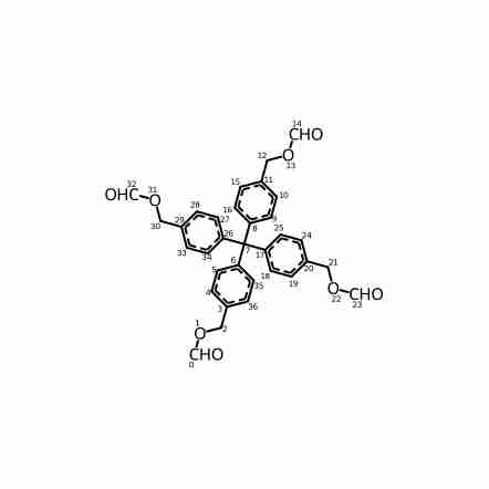 O=COCc1ccc(C(c2ccc(COC=O)cc2)(c2ccc(COC=O)cc2)c2ccc(COC=O)cc2)cc1